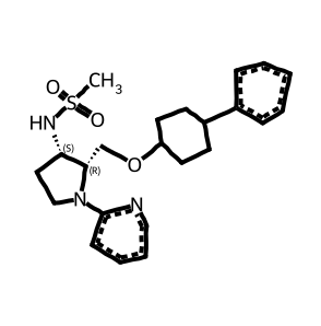 CS(=O)(=O)N[C@H]1CCN(c2ccccn2)[C@H]1COC1CCC(c2ccccc2)CC1